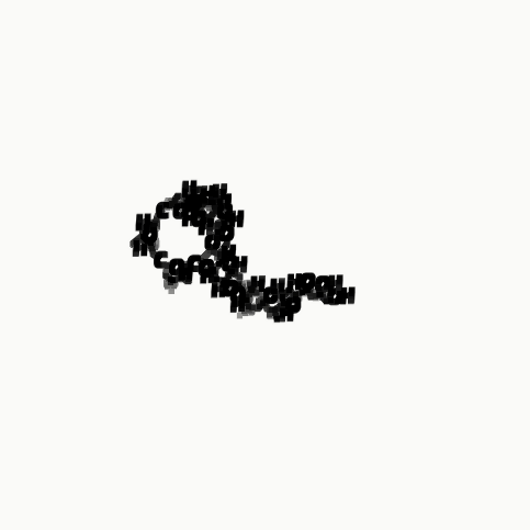 C=C1C[C@@H]2CC[C@@]34C[C@@H]5O[C@@H]6[C@@H](O[C@H]7CC[C@H](CC(=O)OC8C(C[C@H]9OC(CC[C@@H]1O2)C[C@@H](C)C9=C)O[C@H]1C[C@H]2O[C@@]9(C[C@@H]%10C[C@@]%11(C[C@H](C)[C@@H]%10O9)C[C@H](C)[C@@H]9O[C@H]([C@H](O)C[C@H](O)CO)C[C@@H]9O%11)C[C@H]2O[C@H]1[C@@H]8C)O[C@@H]7[C@@H]6O3)[C@H]5O4